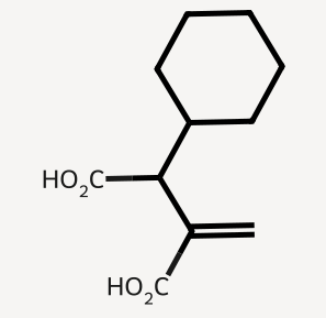 C=C(C(=O)O)C(C(=O)O)C1CCCCC1